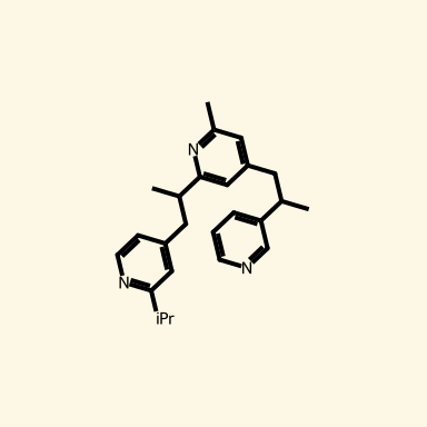 Cc1cc(CC(C)c2cccnc2)cc(C(C)Cc2ccnc(C(C)C)c2)n1